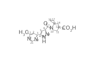 Cc1cc(-c2cc(C(=O)N3CC[C@@H](C(=O)O)CC34CC4)n[nH]2)ncn1